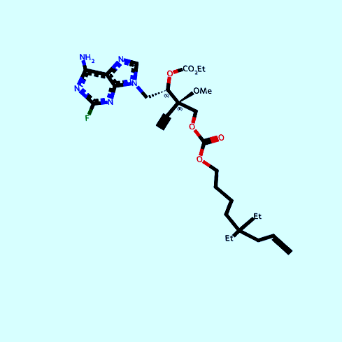 C#C[C@](COC(=O)OCCCCC(CC)(CC)CC=C)(OC)[C@H](Cn1cnc2c(N)nc(F)nc21)OC(=O)OCC